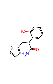 NC(=O)C(Cc1cccs1)c1ccccc1O